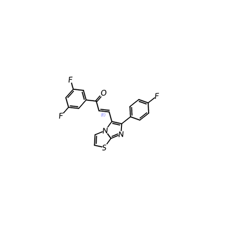 O=C(/C=C/c1c(-c2ccc(F)cc2)nc2sccn12)c1cc(F)cc(F)c1